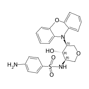 Nc1ccc(S(=O)(=O)N[C@@H]2COC[C@H](N3c4ccccc4Oc4ccccc43)[C@H]2O)cc1